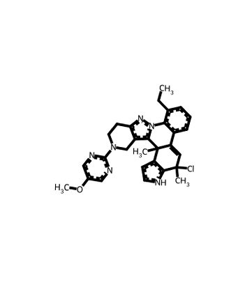 CCc1cccc2c1-n1nc3c(c1C1(C)C2=CC(C)(Cl)c2[nH]ccc21)CN(c1ncc(OC)cn1)CC3